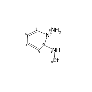 CCNC1C=CC=CN1N